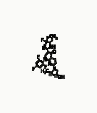 CCC(NC(=O)c1cn(-c2c(F)cc(F)cc2F)c2nc(N3C[C@@H](O)C[C@H]3C)ccc2c1=O)C(F)(F)F